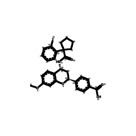 COc1ccc2c(c1)O[C@@H](c1ccc(C(=O)O)cc1)C[C@H]2NC(=O)C1(c2ccccc2F)CCCC1